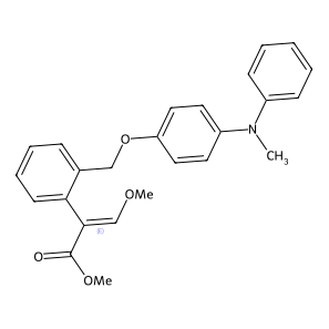 CO/C=C(/C(=O)OC)c1ccccc1COc1ccc(N(C)c2ccccc2)cc1